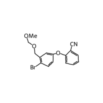 COCOCc1cc(Oc2ccccc2C#N)ccc1Br